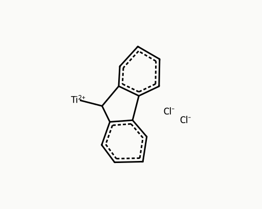 [Cl-].[Cl-].[Ti+2][CH]1c2ccccc2-c2ccccc21